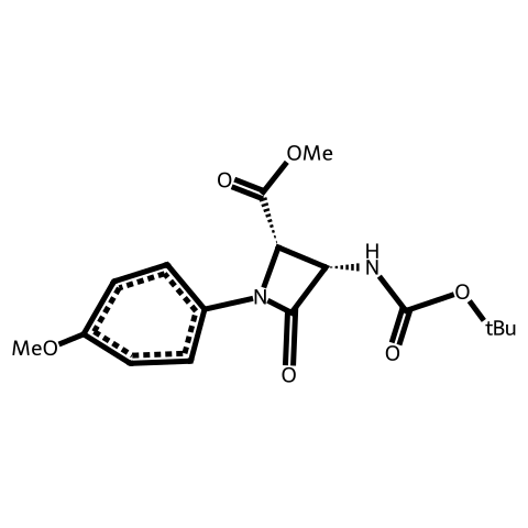 COC(=O)[C@@H]1[C@H](NC(=O)OC(C)(C)C)C(=O)N1c1ccc(OC)cc1